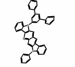 c1ccc(-c2cc(-c3ccccc3)cc(-n3c4ccccc4c4nc5cc6c(cc5cc43)c3ccccc3n6-c3ccccc3)c2)cc1